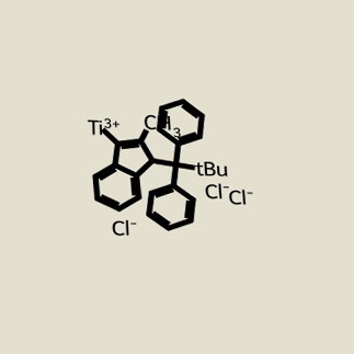 CC1=[C]([Ti+3])c2ccccc2C1C(c1ccccc1)(c1ccccc1)C(C)(C)C.[Cl-].[Cl-].[Cl-]